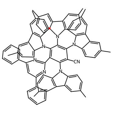 Cc1ccc2c(c1)c1cc(C)ccc1n2-c1c(C#N)c(-n2c3ccc(C)cc3c3cc(C)ccc32)c(-n2c3ccc(C)cc3c3cc(C)ccc32)c(-n2c3ccc(C)cc3c3cc(C)ccc32)c1-c1nc(-c2ccccc2)cc(-c2ccccc2)n1